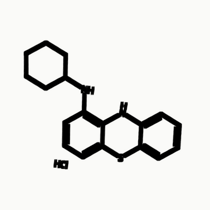 Cl.c1ccc2c(c1)Nc1c(NC3CCCCC3)cccc1S2